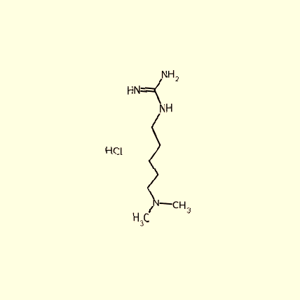 CN(C)CCCCCNC(=N)N.Cl